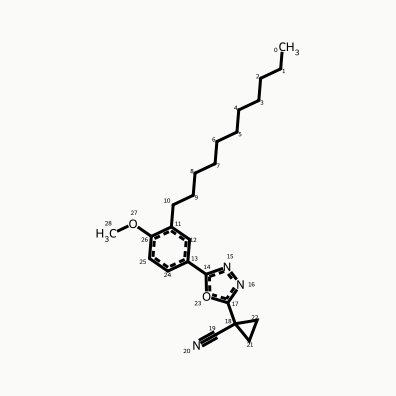 CCCCCCCCCCCc1cc(-c2nnc(C3(C#N)CC3)o2)ccc1OC